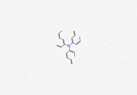 C=C/C=C\C(=C/C)N(/C(C=C)=C/C=C\C)C(/C=C\C)=C/C=C